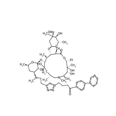 CC[C@H]1OC(=O)[C@H](C)[C@@H](O[C@H]2C[C@@](C)(OC)[C@@H](O)[C@H](C)O2)[C@H](C)[C@@H](O[C@@H]2O[C@H](C)C[C@H](N(C)CCc3cn(CCCC(=O)c4ccc(-c5cccnc5)cc4)nn3)[C@H]2O)[C@](C)(O)C[C@@H](C)CN(C)[C@H](C)[C@@H](O)[C@]1(C)O